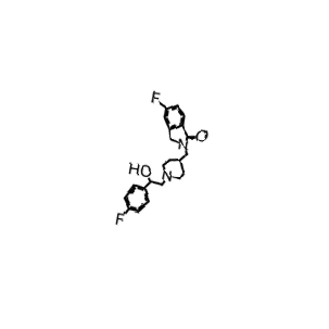 O=C1c2ccc(F)cc2CN1CC1CCN(CC(O)c2ccc(F)cc2)CC1